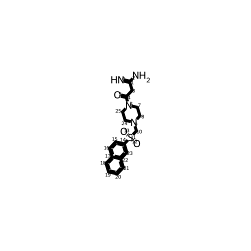 N=C(N)CC(=O)N1CCN(CS(=O)(=O)c2ccc3ccccc3c2)CC1